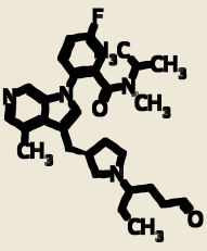 CCC(CCC=O)N1CC[C@H](Cc2cn(-c3ccc(F)cc3C(=O)N(C)C(C)C)c3cncc(C)c23)C1